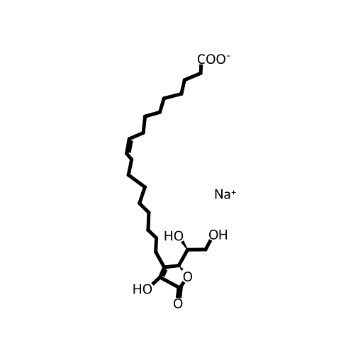 O=C([O-])CCCCCCC/C=C\CCCCCCCCC1=C(O)C(=O)O[C@H]1[C@@H](O)CO.[Na+]